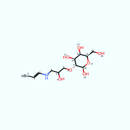 CCCC/C=C/NCC(O)CO[C@@H]1[C@@H](O)[C@@H](O)[C@@H](CO)O[C@H]1O